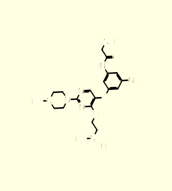 CN(C)CCOc1nc(N2CCN(C)CC2)ncc1Sc1cc(N)cc(NC(=O)CN)c1